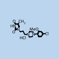 COc1cc(Cl)ccc1N1CCN(CCCn2cc(C)c(=O)[nH]c2=O)CC1.Cl